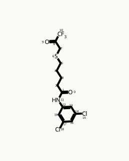 O=C([CH]CCCSCC(=O)C(F)(F)F)Nc1cc(Cl)cc(Cl)c1